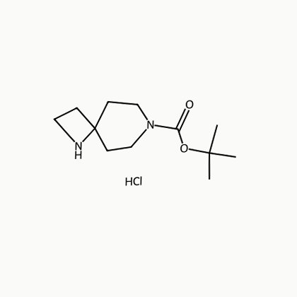 CC(C)(C)OC(=O)N1CCC2(CCN2)CC1.Cl